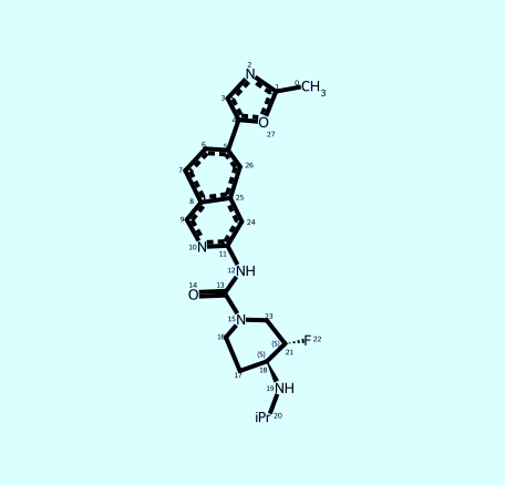 Cc1ncc(-c2ccc3cnc(NC(=O)N4CC[C@H](NC(C)C)[C@@H](F)C4)cc3c2)o1